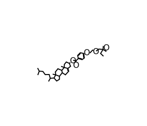 CCC1(COCCOc2ccc(C(=O)OC3CCC4(C)C(=CCC5C4CCC4(C)C(C(C)CCCC(C)C)CCC54)C3)cc2)COC1